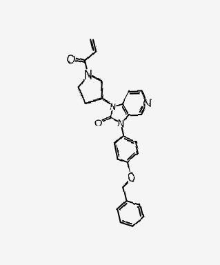 C=CC(=O)N1CCC(n2c(=O)n(-c3ccc(OCc4ccccc4)cc3)c3cnccc32)C1